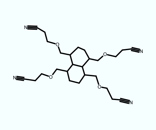 N#CCCOCC1CCC(COCCC#N)C2C(COCCC#N)CCC(COCCC#N)C12